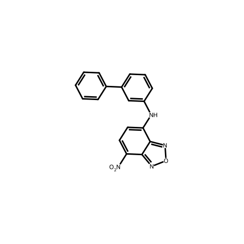 O=[N+]([O-])c1ccc(Nc2cccc(-c3ccccc3)c2)c2nonc12